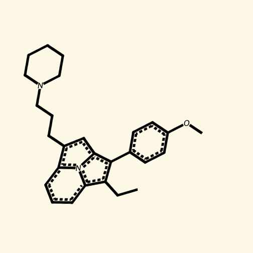 CCc1c(-c2ccc(OC)cc2)c2cc(CCCN3CCCCC3)c3cccc1n32